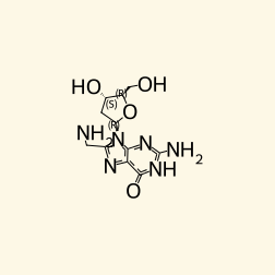 NCc1nc2c(=O)[nH]c(N)nc2n1[C@H]1C[C@H](O)[C@@H](CO)O1